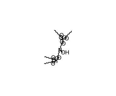 CCCCCCCC(=O)OCC(CC)(COC(=O)CCCCCCC)COC(=O)CCCCCN(CCO)CCCCCC(=O)OCC(CC)(COC(=O)CCCCCCC)COC(=O)CCCCCCC